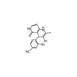 CCc1cc(C#N)ccc1C1C(C(C)=O)=C(C)Nc2cc[nH]c(=O)c21